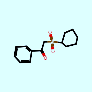 O=C(CS(=O)(=O)C1CCCCC1)c1ccccc1